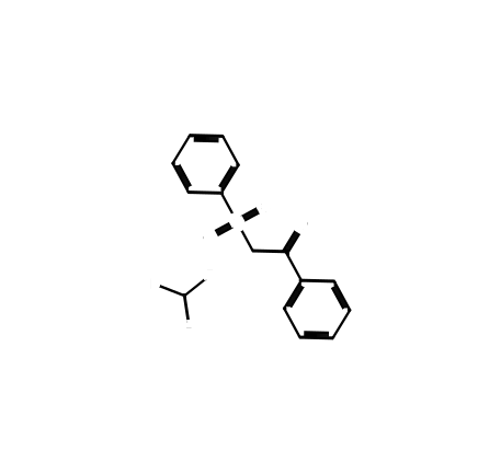 FC(F)F.O=C(CS(=O)(=O)c1ccccc1)c1ccccc1